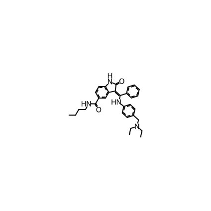 CCCCNC(=O)c1ccc2c(c1)C(=C(Nc1ccc(CN(CC)CC)cc1)c1ccccc1)C(=O)N2